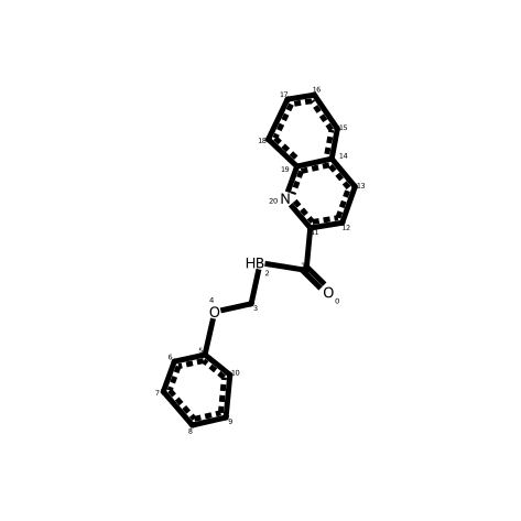 O=C(BCOc1ccccc1)c1ccc2ccccc2n1